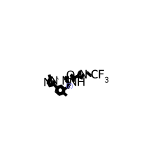 C=N/C(=C\c1cc(-c2cnc(C)n2C)ccc1C)NC(=O)C1CN(CCC(F)(F)F)C1